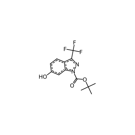 CC(C)(C)OC(=O)n1nc(C(F)(F)F)c2ccc(O)cc21